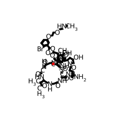 CC[C@H](C)C1NC(=O)CNC(=O)C2Cc3c([nH]c4cc(O)ccc34)[S@+]([O-])CC(NC(=O)CNC1=O)C(=O)NC(CC(N)=O)C(=O)N1CC(O)CC1C(=O)N[C@@H]([C@@H](C)[C@@H]1COC(c3cc(OCCOCCNC)ccc3Br)O1)C(=O)N2